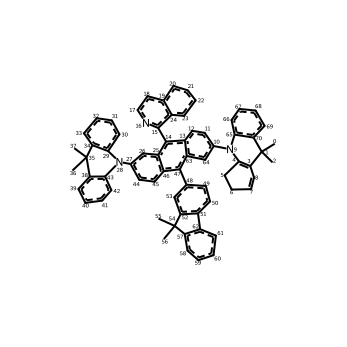 CC1(C)C2=C(CCC=C2)N(c2ccc3c(-c4nccc5ccccc45)c4cc(N5c6ccccc6C(C)(C)c6ccccc65)ccc4c(-c4ccc5c(c4)C(C)(C)c4ccccc4-5)c3c2)c2ccccc21